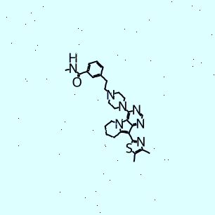 CNC(=O)c1cccc(CCN2CCN(c3ncnc4c(-c5nc(C)c(C)s5)c5n(c34)CCCC5)CC2)c1